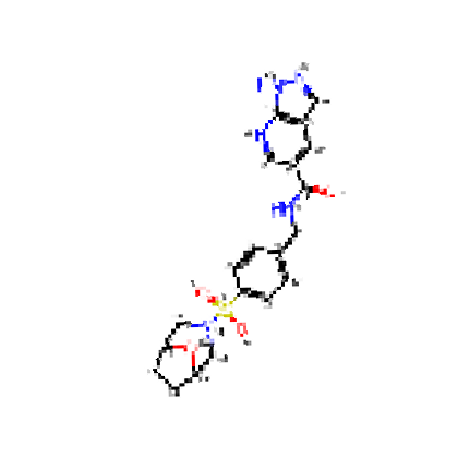 O=C(NCc1ccc(S(=O)(=O)N2CC3CCC(C2)O3)cc1)c1cnc2[nH]ncc2c1